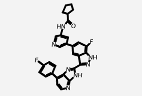 O=C(Nc1cncc(-c2cc(F)c3[nH]nc(-c4nc5c(-c6ccc(F)cc6)ccnc5[nH]4)c3c2)c1)C1CCCC1